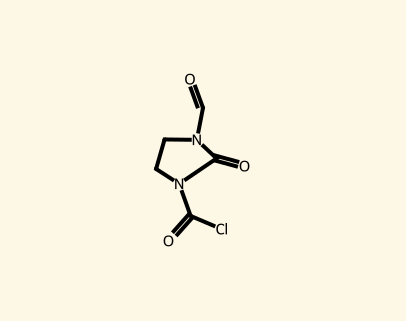 O=CN1CCN(C(=O)Cl)C1=O